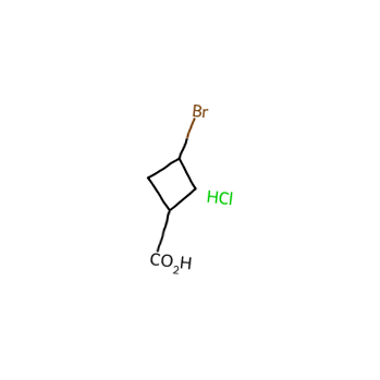 Cl.O=C(O)C1CC(Br)C1